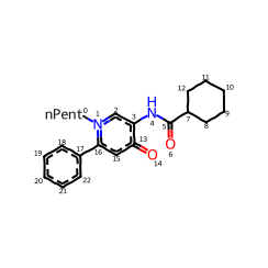 CCCCCn1cc(NC(=O)C2CCCCC2)c(=O)cc1-c1ccccc1